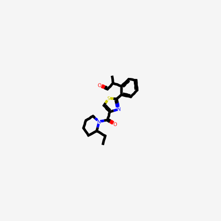 CCC1CCCCN1C(=O)c1csc(-c2ccccc2C(C)C=O)n1